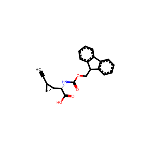 C#CC1C[C@H]1[C@H](NC(=O)OCC1c2ccccc2-c2ccccc21)C(=O)O